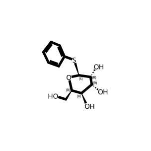 OC[C@H]1O[C@@H](Sc2ccccc2)[C@H](O)[C@H](O)[C@H]1O